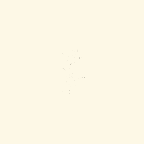 N#Cc1cc([N+](=O)[O-])ccc1OC(=NO)c1cc(Br)c(O)c(Br)c1